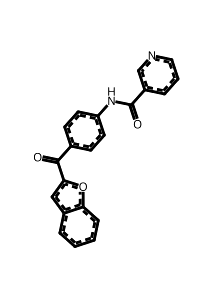 O=C(Nc1ccc(C(=O)c2cc3ccccc3o2)cc1)c1cccnc1